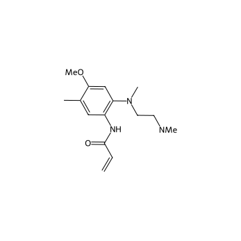 C=CC(=O)Nc1cc(C)c(OC)cc1N(C)CCNC